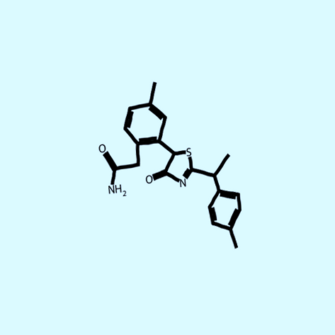 Cc1ccc(C(C)C2=NC(=O)C(c3cc(C)ccc3CC(N)=O)S2)cc1